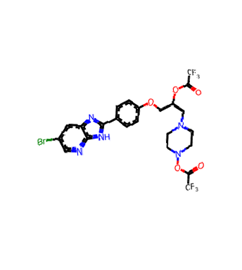 O=C(OC(COc1ccc(-c2nc3cc(Br)cnc3[nH]2)cc1)CN1CCN(OC(=O)C(F)(F)F)CC1)C(F)(F)F